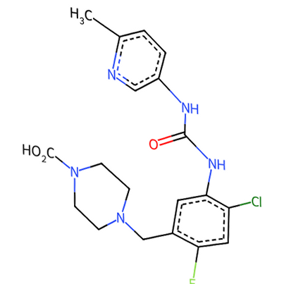 Cc1ccc(NC(=O)Nc2cc(CN3CCN(C(=O)O)CC3)c(F)cc2Cl)cn1